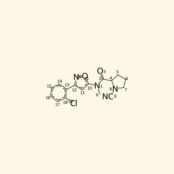 CN(C(=O)C1CCCN1C#N)c1cc(-c2ccccc2Cl)no1